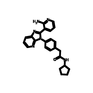 Nc1ncccc1-c1nc2cccnc2n1-c1ccc(CC(=O)NC2CCCC2)cc1